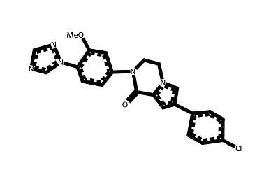 COc1cc(N2CCn3cc(-c4ccc(Cl)cc4)cc3C2=O)ccc1-n1cncn1